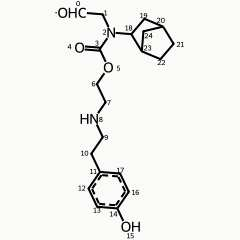 O=[C]CN(C(=O)OCCNCCc1ccc(O)cc1)C1CC2CCC1C2